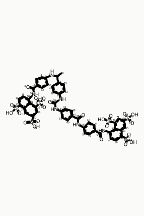 CC(Nc1ccc(C(=O)Nc2ccc(S(=O)(=O)O)c3cc(S(=O)(=O)O)cc(S(=O)(=O)O)c23)cc1)c1ccc(NC(=O)Nc2ccc(C(=O)Nc3ccc(C(=O)Nc4ccc(S(=O)(=O)O)c5cc(S(=O)(=O)O)cc(S(=O)(=O)O)c45)cc3)cc2)cc1